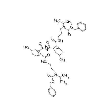 CC(C)N(CCCNC(=O)C1C2CC(O)C(C2)C1C(=O)NC(=O)C1C2CC(CC2O)C1C(=O)NCCCN(C(=O)OCc1ccccc1)C(C)C)C(=O)OCc1ccccc1